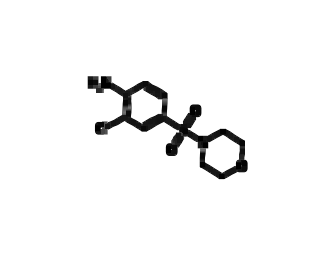 Nc1ccc(S(=O)(=O)N2CCOCC2)cc1Cl